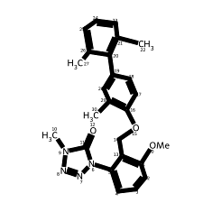 COc1cccc(-n2nnn(C)c2=O)c1COc1ccc(-c2c(C)cccc2C)cc1C